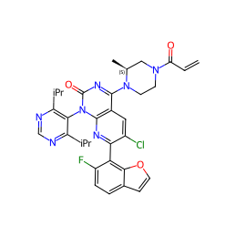 C=CC(=O)N1CCN(c2nc(=O)n(-c3c(C(C)C)ncnc3C(C)C)c3nc(-c4c(F)ccc5ccoc45)c(Cl)cc23)[C@@H](C)C1